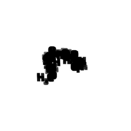 COc1ccc(C2CN(C(=O)NCc3ccc(C(=O)NNC(=O)C(F)(F)F)cc3)CCS2)cc1